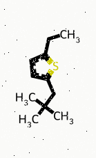 CCc1ccc(CC(C)(C)C)s1